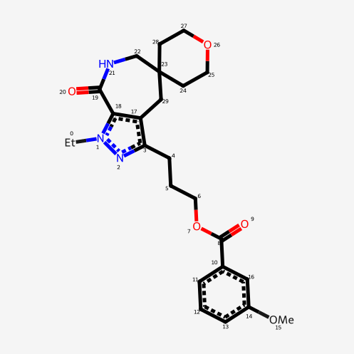 CCn1nc(CCCOC(=O)c2cccc(OC)c2)c2c1C(=O)NCC1(CCOCC1)C2